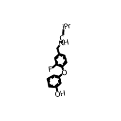 CC(C)CCNCc1ccc(Oc2cccc(O)c2)c(F)c1